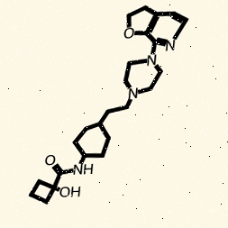 O=C(NC1CCC(CCN2CCN(c3nccc4c3OCC4)CC2)CC1)C1(O)CCC1